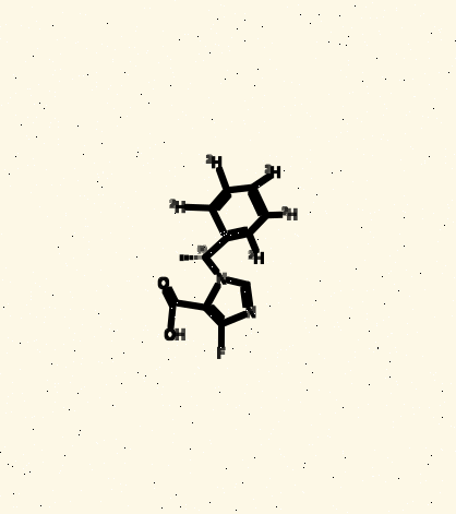 [2H]c1c([2H])c([2H])c([C@@H](C)n2cnc(F)c2C(=O)O)c([2H])c1[2H]